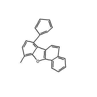 Cc1ccc(-c2ccccc2)c2c1oc1c3ccccc3ccc12